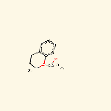 O=S(=O)(O)O.[Cu].[Cu].[Zn].c1ccc2c(c1)CCCO2